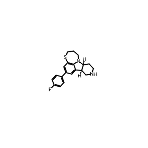 Fc1ccc(-c2cc3c4c(c2)[C@H]2CNCC[C@H]2N4CCCS3)cc1